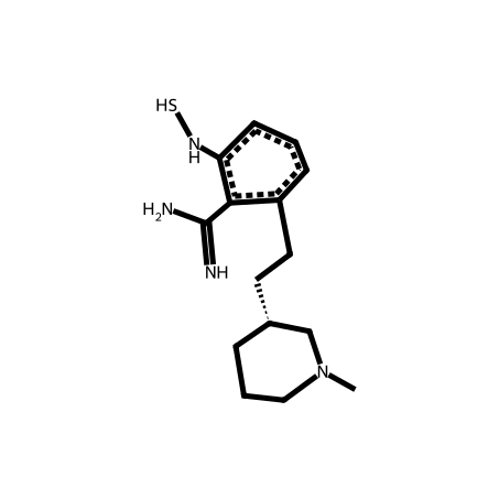 CN1CCC[C@H](CCc2cccc(NS)c2C(=N)N)C1